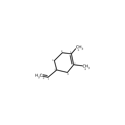 C=CC1CCC(C)=C(C)C1